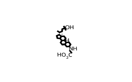 CC(CCC(C)(C)O)[C@H]1CCC2C3CC=C4C[C@@H](NCCC(=O)O)CC[C@@H]4C3CC[C@@]21C